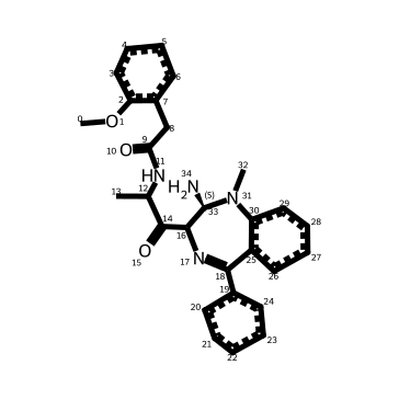 COc1ccccc1CC(=O)NC(C)C(=O)C1N=C(c2ccccc2)c2ccccc2N(C)[C@@H]1N